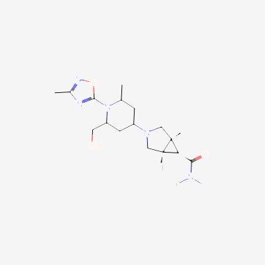 CCN(CC)C(=O)[C@H]1[C@@H]2CN(C3CC(C)N(c4nc(C)no4)C(CO)C3)C[C@@H]21